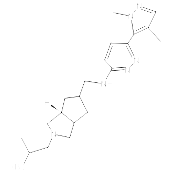 Cc1cnn(C)c1-c1ccc(NCC2CC3CN(CC(C)C(C)(C)C)C[C@@H]3C2)nn1